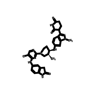 C[C@@H]1CN(c2ncc(Cl)c(Nc3ccc4c(c3)CC(=O)N4)n2)CC[C@H]1Nc1ccc2c(C3CCC(=O)NC3=O)nn(C)c2c1